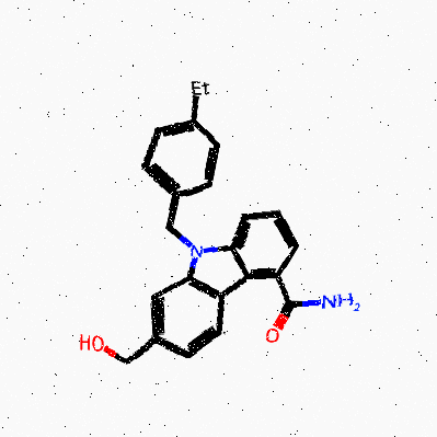 CCc1ccc(Cn2c3cc(CO)c[c]c3c3c(C(N)=O)cccc32)cc1